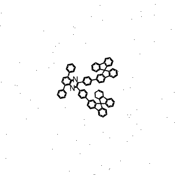 C1=CC2=C(CC1)C1(c3ccccc32)c2ccccc2-c2ccc(-c3ccc(-c4nc5c(-c6ccccc6)ccc(-c6ccccc6)c5nc4-c4ccc(-c5ccc6c(c5)C5(c7ccccc7-c7ccccc75)c5ccccc5-6)cc4)cc3)cc21